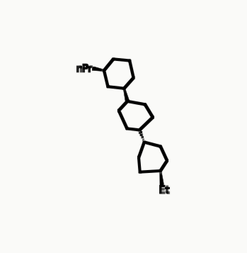 CCC[C@H]1CCC[C@@H](C2CCC([C@H]3CC[C@H](CC)CC3)CC2)C1